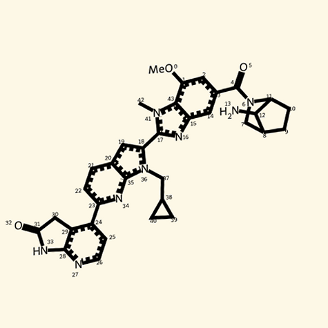 COc1cc(C(=O)N2CC3CCC2C3N)cc2nc(-c3cc4ccc(-c5ccnc6c5CC(=O)N6)nc4n3CC3CC3)n(C)c12